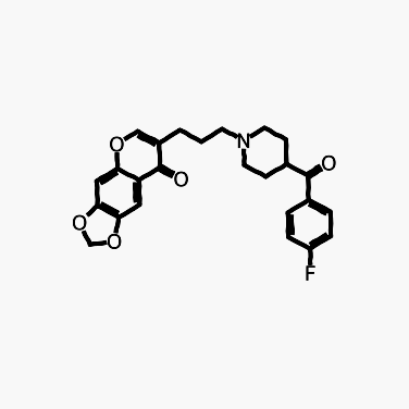 O=C(c1ccc(F)cc1)C1CCN(CCCc2coc3cc4c(cc3c2=O)OCO4)CC1